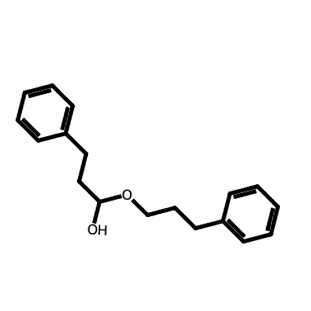 OC(CCc1ccccc1)OCCCc1ccccc1